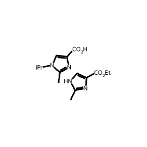 CCOC(=O)c1c[nH]c(C)n1.Cc1nc(C(=O)O)cn1C(C)C